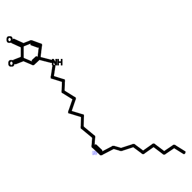 CCCCCCCC/C=C\CCCCCCCCNC1=CC(=O)C(=O)C=C1